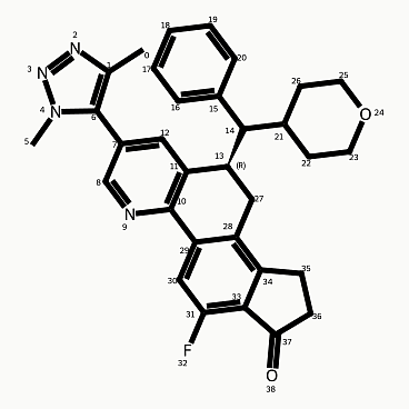 Cc1nnn(C)c1-c1cnc2c(c1)[C@@H](C(c1ccccc1)C1CCOCC1)Cc1c-2cc(F)c2c1CCC2=O